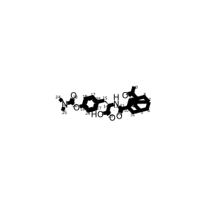 CC(=O)C12CC3CC(C1)CC(C(=O)N[C@@H](Cc1ccc(OC(=O)N(C)C)cc1)C(=O)O)(C3)C2